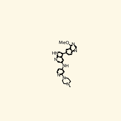 COc1ncnc2ccc(-c3c[nH]c4ncc(Nc5ccnc(N6CCN(C)CC6)c5)cc34)cc12